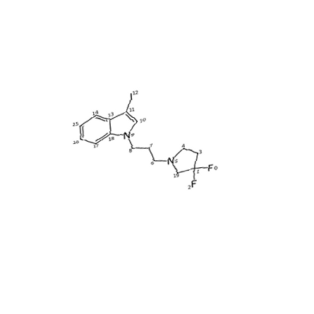 FC1(F)CCN(CCCn2cc(I)c3ccccc32)C1